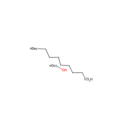 CCCCCCCCCCCCCCCCCC(=O)O.CCCCCCCCO